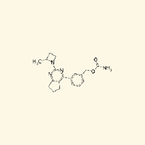 CC1CCN1c1nc2c(c(-c3cccc(COC(N)=O)c3)n1)CCC2